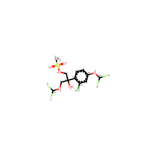 CS(=O)(=O)OCC(O)(COC(F)F)c1ccc(OC(F)F)cc1Cl